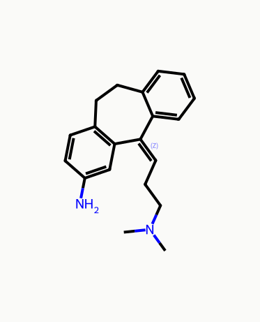 CN(C)CC/C=C1/c2ccccc2CCc2ccc(N)cc21